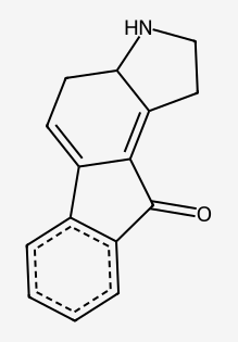 O=C1C2=C3CCNC3CC=C2c2ccccc21